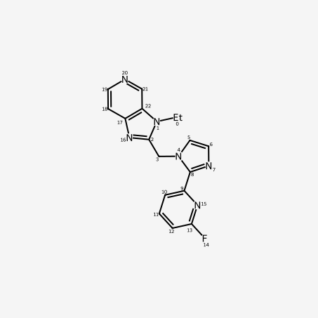 CCn1c(Cn2ccnc2-c2cccc(F)n2)nc2ccncc21